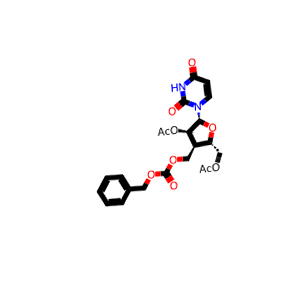 CC(=O)OC[C@H]1O[C@@H](n2ccc(=O)[nH]c2=O)[C@H](OC(C)=O)[C@@H]1COC(=O)OCc1ccccc1